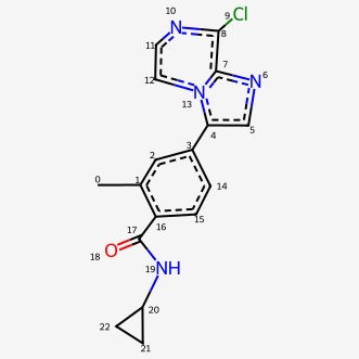 Cc1cc(-c2cnc3c(Cl)nccn23)ccc1C(=O)NC1CC1